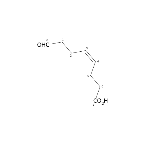 O=CCC/C=C\CCC(=O)O